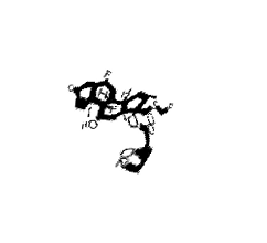 C[C@@H]1C[C@H]2[C@@H]3C[C@H](F)C4=CC(=O)C=C[C@]4(C)[C@@]3(F)[C@@H](O)C[C@]2(C)[C@@]1(OC(=O)c1ccno1)C(=O)SCF